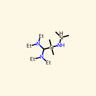 CCN(CC)C(N(CC)CC)[Si](C)(C)N[SiH](C)C